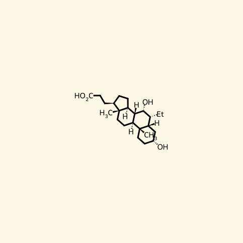 CC[C@H]1[C@@H](O)[C@@H]2[C@H](CC[C@]3(C)[C@@H](CCC(=O)O)CC[C@@H]23)[C@@]2(C)CC[C@@H](O)C[C@@H]12